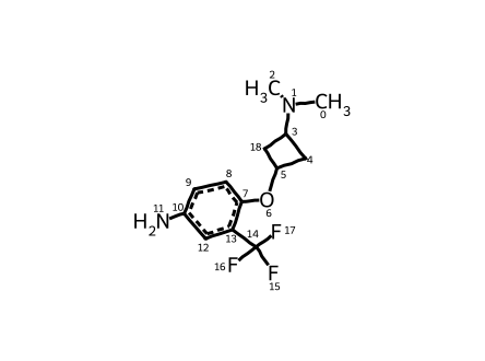 CN(C)C1CC(Oc2ccc(N)cc2C(F)(F)F)C1